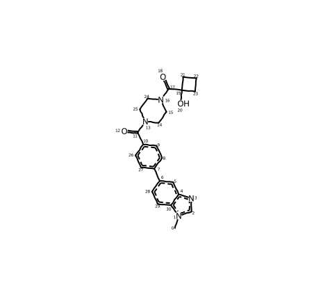 Cn1cnc2cc(-c3ccc(C(=O)N4CCN(C(=O)C5(O)CCC5)CC4)cc3)ccc21